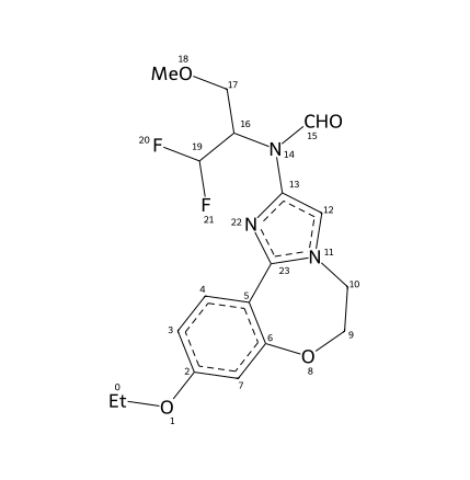 CCOc1ccc2c(c1)OCCn1cc(N(C=O)C(COC)C(F)F)nc1-2